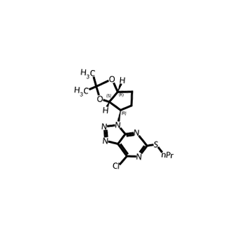 CCCSc1nc(Cl)c2nnn([C@@H]3CC[C@H]4OC(C)(C)O[C@@H]34)c2n1